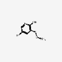 NOSc1cc(Br)cnc1O